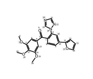 COc1cc(C(=O)c2ccc(-c3ccco3)cc2-n2cncn2)cc(OC)c1OC